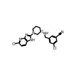 N#Cc1cc(Cl)cc(CN[C@H]2CCCN(c3nc4nc(Cl)ccc4[nH]3)C2)c1